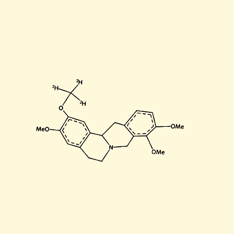 [2H]C([2H])([2H])Oc1cc2c(cc1OC)CCN1Cc3c(ccc(OC)c3OC)CC21